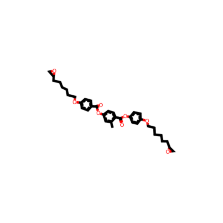 Cc1cc(OC(=O)c2ccc(OCCCCCCC3CO3)cc2)ccc1C(=O)Oc1ccc(OCCCCCCC2CO2)cc1